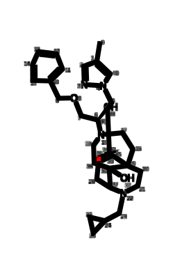 Cc1cnn(C[C@H](COCc2ccccc2)N2CCC34CCN(CC5CC5)C(Cc5ccc(O)cc53)C4(O)CC2)c1